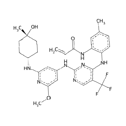 C=CC(=O)Nc1cc(C)ccc1Nc1nc(Nc2cc(N[C@H]3CC[C@@](C)(O)CC3)nc(OC)c2)ncc1C(F)(F)F